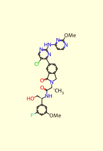 COc1cc(F)cc([C@@H](CO)NC(=O)[C@@H](C)N2Cc3ccc(-c4nc(Nc5ccnc(OC)n5)ncc4Cl)cc3C2=O)c1